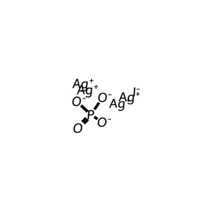 O=P([O-])([O-])[O-].[Ag+].[Ag+].[Ag+].[Ag+].[I-]